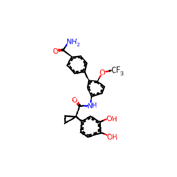 NC(=O)c1ccc(-c2cc(NC(=O)C3(c4ccc(O)c(O)c4)CC3)ccc2OC(F)(F)F)cc1